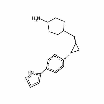 NC1CCC(C[C@H]2C[C@@H]2c2ccc(-c3ccn[nH]3)cc2)CC1